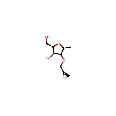 C[C@@H]1O[C@H](CO)[C@H](O)C1OCC1=CB1